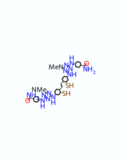 CNc1nc(Nc2ccc(C(N)=O)cc2)nc(Nc2ccc(/C=C/c3ccc(Nc4nc(NC)nc(Nc5ccc(C(N)=O)cc5)n4)cc3S)c(S)c2)n1